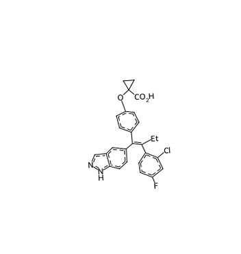 CC/C(=C(\c1ccc(OC2(C(=O)O)CC2)cc1)c1ccc2[nH]ncc2c1)c1ccc(F)cc1Cl